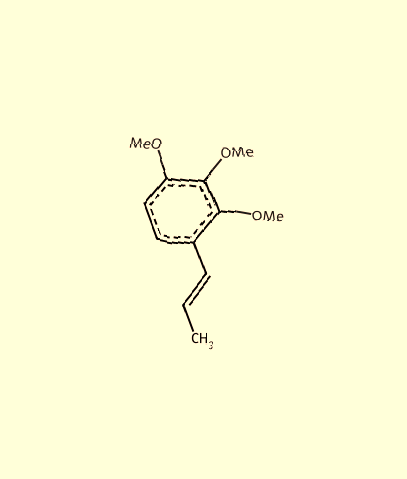 CC=Cc1ccc(OC)c(OC)c1OC